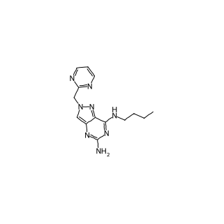 CCCCNc1nc(N)nc2cn(Cc3ncccn3)nc12